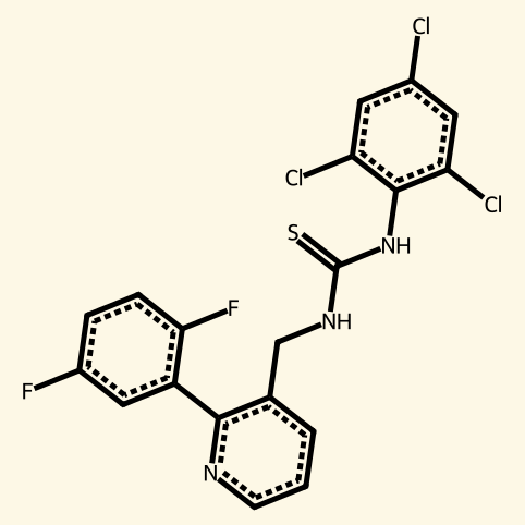 Fc1ccc(F)c(-c2ncccc2CNC(=S)Nc2c(Cl)cc(Cl)cc2Cl)c1